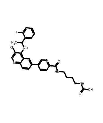 CC(Nc1c(Cl)cnc2ccc(-c3ccc(C(=O)NCCCCNC(=O)O)nc3)cc12)c1ccccc1F